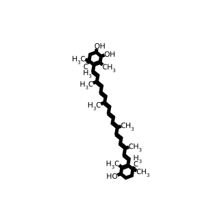 CC1=C(/C=C/C(C)=C/C=C/C(C)=C/C=C/C=C(C)/C=C/C=C(C)/C=C/C2=C(C)C(O)C(O)CC2(C)C)C(C)(C)CCC1O